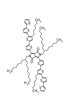 CCCCCCCCC(CCCCCC)CN1C(=O)C2=C(c3ccc(-c4cc(CCCCCC)c(-c5ccc(-c6cccs6)s5)s4)s3)N(CC(CCCCCC)CCCCCCCC)C(=O)C2=C1c1ccc(-c2cc(CCCCCC)c(-c3ccc(-c4cccs4)s3)s2)s1